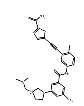 Cc1ccc(NC(=O)c2cc(N3CC[C@H](CN(C)C)C3)cc(C(F)(F)F)c2)cc1C#Cc1cnc(C(N)=O)s1